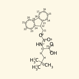 CC(C)(C)CCC(NC(=O)OCC1c2ccccc2-c2ccccc21)C(=O)O